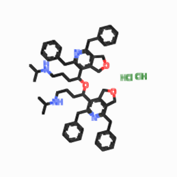 CC(C)NCCCC(OC(CCCNC(C)C)c1c(Cc2ccccc2)nc(Cc2ccccc2)c2c1COC2)c1c(Cc2ccccc2)nc(Cc2ccccc2)c2c1COC2.Cl.Cl